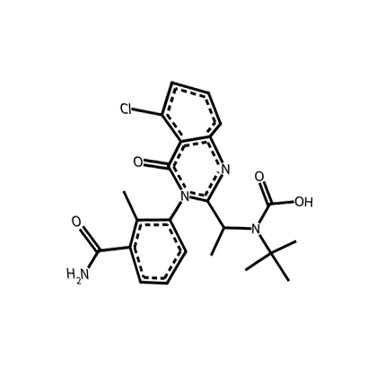 Cc1c(C(N)=O)cccc1-n1c(C(C)N(C(=O)O)C(C)(C)C)nc2cccc(Cl)c2c1=O